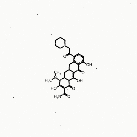 CN(C)[C@@H]1C(O)=C(C(N)=O)C(=O)C2C(O)=C3C(=O)c4c(O)ccc(C(=O)CN5CCCCC5)c4CC3CC21